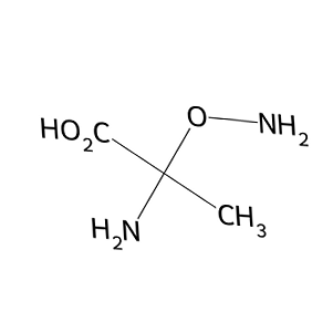 CC(N)(ON)C(=O)O